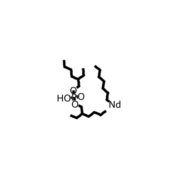 CCCCC(CC)COP(=O)(O)OCC(CC)CCCC.CCCCCC[CH2][Nd]